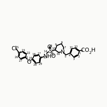 O=C(O)c1ccc(CN2CCCC(S(=O)(=O)CNc3ccc(Oc4ccc(Cl)cc4)cc3)C2)cc1